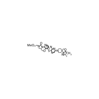 COCCN1CC2COc3c(Sc4ncc(N5CCC6(CC5)CO[C@@H](C)[C@H]6N)nc4N)ccnc3N2C1=O